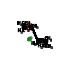 Cc1ccc(C(C)C)c(OC(=O)C[N+](C)(C)CCCCCCCCCC[N+](C)(C)CC(=O)Oc2cc(C)ccc2C(C)C)c1.[Cl-].[Cl-]